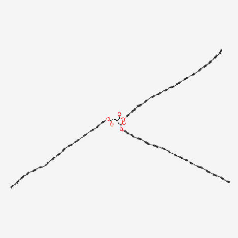 C#CC#CC#CC#CC#CC#CC#CC#CC#CC#CC#CC#CC#CC#CC#CC#COC(=O)/C=C(\CC(=O)OC#CC#CC#CC#CC#CC#CC#CC#CC#CC#CC#CC#CC#CC#CC#CC#C)C(=O)OC#CC#CC#CC#CC#CC#CC#CC#CC#CC#CC#CC#CC#CC#CC#CC#C